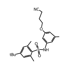 Cc1cc(NS(=O)(=O)c2c(C)cc(C(C)(C)C)cc2C)cc(OCCCC#N)c1